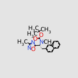 Cc1noc([C@@H](Cc2ccc3ccccc3c2)N(C)C(=O)OC(C)(C)C)n1